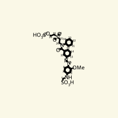 COc1cc(NCS(=O)(=O)O)ccc1/N=N/c1cccc(C(=O)N(CCS(=O)(=O)CCOS(=O)(=O)O)c2ccccc2)c1